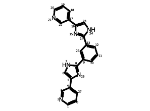 c1cncc(-c2c[nH]c(-c3cccc(-c4nc(-c5cccnc5)c[nH]4)c3)n2)c1